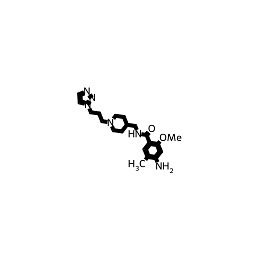 COc1cc(N)c(C)cc1C(=O)NCC1CCN(CCCn2ccnn2)CC1